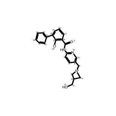 O=C(Nc1ccc(CN2CC(CO)C2)cn1)c1cccc(-c2ccccc2)c1Cl